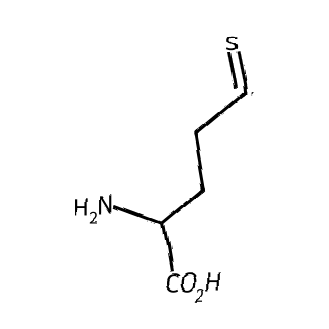 NC(CC[C]=S)C(=O)O